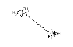 CCC(C)C(=O)OCCCCCCCCCCCCOC(=O)C(F)(F)S(=O)(=O)O